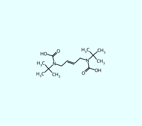 CC(C)(C)N(C/C=C/CN(C(=O)O)C(C)(C)C)C(=O)O